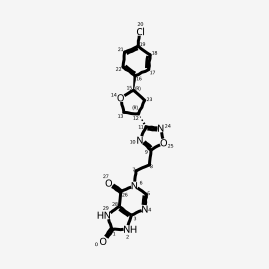 O=c1[nH]c2ncn(CCc3nc([C@@H]4CO[C@@H](c5ccc(Cl)cc5)C4)no3)c(=O)c2[nH]1